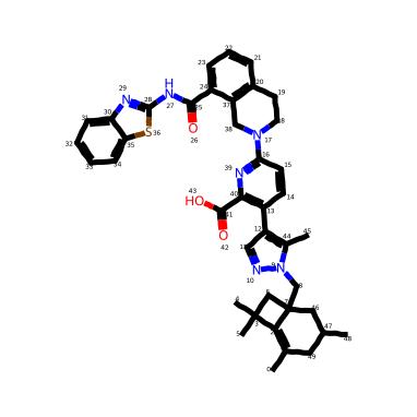 CC1=C2C(C)(C)CC2(Cn2ncc(-c3ccc(N4CCc5cccc(C(=O)Nc6nc7ccccc7s6)c5C4)nc3C(=O)O)c2C)CC(C)C1